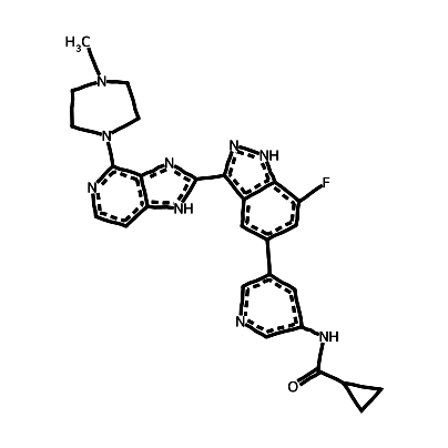 CN1CCN(c2nccc3[nH]c(-c4n[nH]c5c(F)cc(-c6cncc(NC(=O)C7CC7)c6)cc45)nc23)CC1